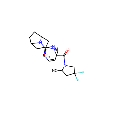 CC1(NCC(=O)N2CC(F)(F)C[C@H]2C#N)CC2CCC(C1)N2c1ncccn1